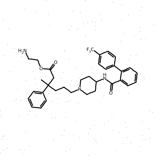 CC(CCCN1CCC(NC(=O)c2ccccc2-c2ccc(C(F)(F)F)cc2)CC1)(CC(=O)OCCN)c1ccccc1